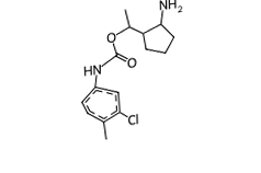 Cc1ccc(NC(=O)OC(C)C2CCCC2N)cc1Cl